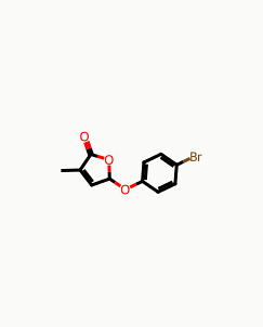 CC1=CC(Oc2ccc(Br)cc2)OC1=O